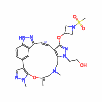 C[C@H]1CN(C)Cc2c(c(OC3CN(S(C)(=O)=O)C3)nn2CCO)/C=C\c2n[nH]c3ccc(cc23)-c2cnn(C)c2O1